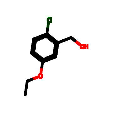 CCOc1ccc(Cl)c(CO)c1